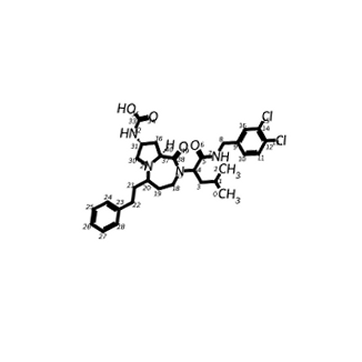 CC(C)CC(C(=O)NCc1ccc(Cl)c(Cl)c1)N1CCC(CCc2ccccc2)N2C[C@H](NC(=O)O)C[C@H]2C1=O